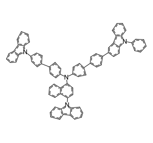 c1ccc(-n2c3ccccc3c3cc(-c4ccc(-c5ccc(N(c6ccc(-c7ccc(-n8c9ccccc9c9ccccc98)cc7)cc6)c6ccc(-n7c8ccccc8c8ccccc87)c7ccccc67)cc5)cc4)ccc32)cc1